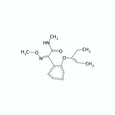 CC=C(CC)Oc1ccccc1C(=NOC)C(=O)NC